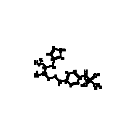 CCN(CCOc1ccc(NS(C)(=O)=O)cc1)C(C)Cc1ccsc1